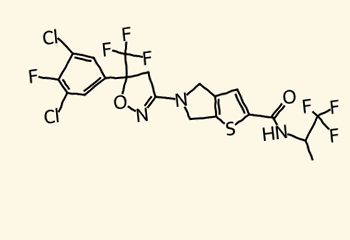 CC(NC(=O)c1cc2c(s1)CN(C1=NOC(c3cc(Cl)c(F)c(Cl)c3)(C(F)(F)F)C1)C2)C(F)(F)F